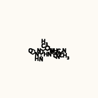 Cc1ccc(NC(=N)c2ccnc(C(C)(C)C#N)c2)cc1-c1cnc(NC2CCOCC2)c(C#N)c1